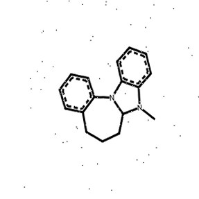 CN1c2ccccc2N2c3ccccc3CCCC12